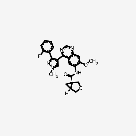 COc1cc2ncnc(-c3cn(C)nc3-c3ccccc3F)c2cc1NC(=O)[C@@]12COC[C@@H]1C2